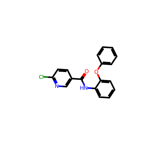 O=C(Nc1ccccc1Oc1ccccc1)c1ccc(Cl)nc1